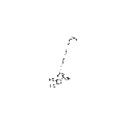 CCCCCCCCCCCCCCCCc1c(C(=O)O)ccc(O)c1O